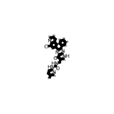 Cc1ccc(NC(=O)NCc2c[nH]c3nc(-c4ccccc4)c(-c4cc(Cl)c5ncccc5c4)nc3c2=O)nc1